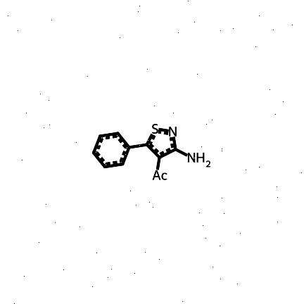 CC(=O)c1c(N)nsc1-c1ccccc1